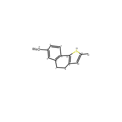 COc1ccc2c(c1)CCc1cc(C)sc1-2